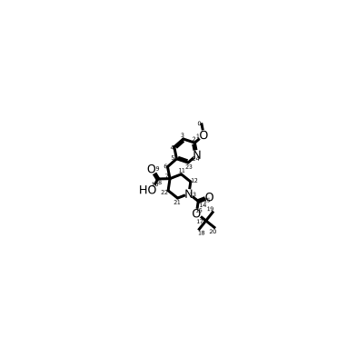 COc1ccc(CC2(C(=O)O)CCN(C(=O)OC(C)(C)C)CC2)cn1